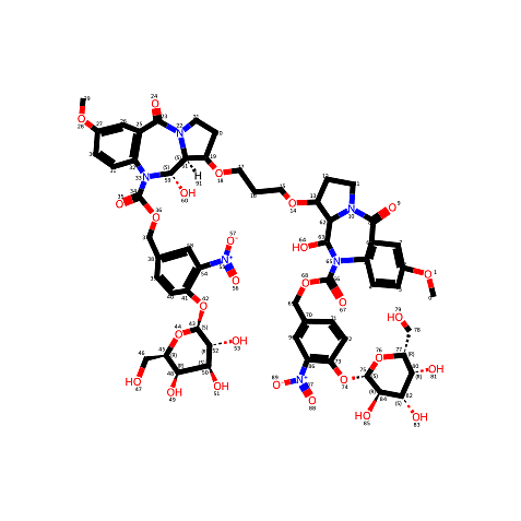 COc1ccc2c(c1)C(=O)N1CCC(OCCCOC3CCN4C(=O)c5cc(OC)ccc5N(C(=O)OCc5ccc(O[C@@H]6O[C@H](CO)[C@H](O)[C@H](O)[C@H]6O)c([N+](=O)[O-])c5)[C@@H](O)[C@H]34)C1C(O)N2C(=O)OCc1ccc(O[C@@H]2O[C@H](CO)[C@H](O)[C@H](O)[C@H]2O)c([N+](=O)[O-])c1